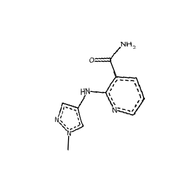 Cn1cc(Nc2ncccc2C(N)=O)cn1